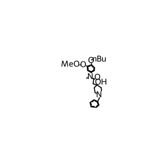 CCCCOc1ccc(N(C)C(=O)CC2(O)CCN(Cc3ccccc3)CC2)cc1OCOC